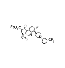 CCOC(=O)c1cn(C)c2cnc3c(N4CCN(c5cccc(C(F)(F)F)c5)CC4)c(F)ccc3c2c1=O